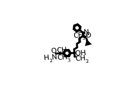 C=CC(O)(CCC/C=C/c1c(-c2ccccc2C(F)(F)F)noc1C1CC1)c1ccc(C(C)(C)C(N)=O)cc1